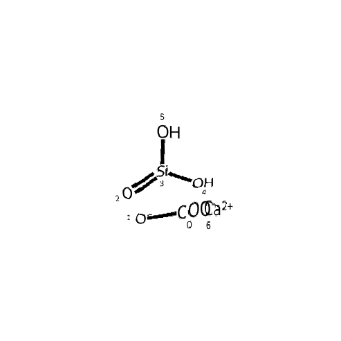 O=C([O-])[O-].O=[Si](O)O.[Ca+2]